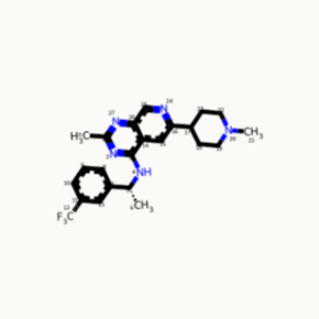 Cc1nc(N[C@H](C)c2cccc(C(F)(F)F)c2)c2cc(C3CCN(C)CC3)ncc2n1